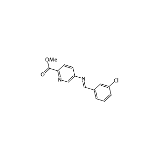 COC(=O)c1ccc(N=Cc2cccc(Cl)c2)cn1